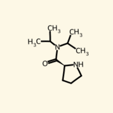 CC(C)N(C(=O)[C@@H]1CCCN1)C(C)C